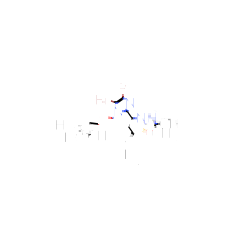 C=CC[C@H](N[S+]([O-])C(C)(C)C)c1nc(Br)c(Br)n1COCC[Si](C)(C)C